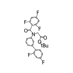 CC(C)(C)OC(=O)CN(C(=O)c1c(F)cc(F)cc1F)c1cccc(-c2ccc(F)cc2F)c1